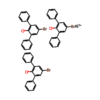 [Al+3].[O-]c1c(-c2ccccc2)cc(Br)cc1-c1ccccc1.[O-]c1c(-c2ccccc2)cc(Br)cc1-c1ccccc1.[O-]c1c(-c2ccccc2)cc(Br)cc1-c1ccccc1